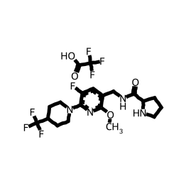 COc1nc(N2CCC(C(F)(F)F)CC2)c(F)cc1CNC(=O)C1CCCN1.O=C(O)C(F)(F)F